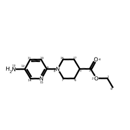 CCOC(=O)C1CCN(c2ccc(N)cn2)CC1